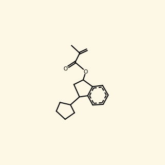 C=C(C)C(=O)OC1CC(C2CCCC2)c2ccccc21